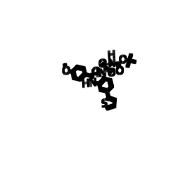 COc1ccc(C(=O)Nc2cc(-c3cccs3)ccc2NS(=O)(=O)NC(=O)OC(C)(C)C)cc1